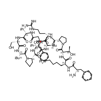 CC[C@H](C)[C@H](NC(=O)[C@@H](NC(=O)[C@H](CCCNC(=N)N)NC(=O)[C@@H]1CCCN1C(=O)[C@@H](NC(=O)[C@H](CCCCN)NC(=O)[C@@H](N)Cc1ccccc1)[C@@H](C)O)C(C)C)C(=O)NCC(=O)N[C@H](C(=O)N[C@@H](CO)C(=O)N[C@H](C(=O)N1CCC[C@H]1C(=O)N[C@@H](Cc1ccccc1)C(=O)O)[C@@H](C)CC)C(C)C